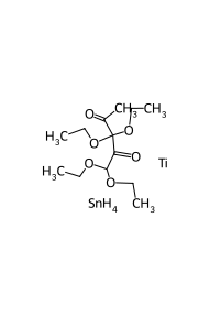 CCOC(OCC)C(=O)C(OCC)(OCC)C(C)=O.[SnH4].[Ti]